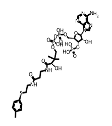 Cc1ccc(SCCNC(=O)CCNC(=O)[C@H](O)C(C)(C)COP(=O)(O)OP(=O)(O)OC[C@H]2O[C@@H](n3cnc4c(N)ncnc43)[C@H](O)[C@@H]2OP(=O)(O)O)cc1